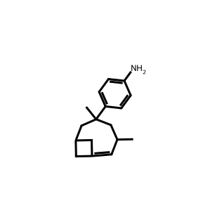 CC1C=C2CC(C2)CC(C)(c2ccc(N)cc2)C1